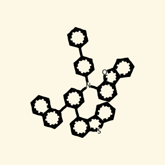 c1ccc(-c2ccc(N(c3ccc(-c4cccc5ccccc45)c(-c4cccc5sc6ccccc6c45)c3)c3cccc4c3oc3ccccc34)cc2)cc1